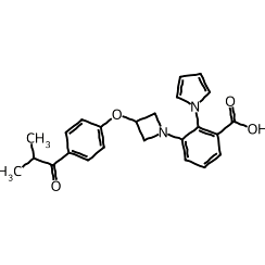 CC(C)C(=O)c1ccc(OC2CN(c3cccc(C(=O)O)c3-n3cccc3)C2)cc1